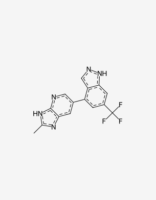 Cc1nc2cc(-c3cc(C(F)(F)F)cc4[nH]ncc34)cnc2[nH]1